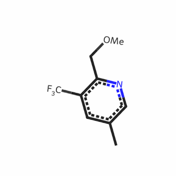 COCc1ncc(C)cc1C(F)(F)F